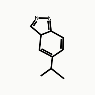 CC(C)C1=CC2C=NN=C2C=C1